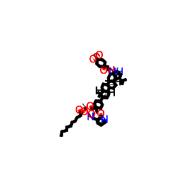 C=C(C)[C@@H]1CC[C@]2(NCCC3(O)CCC(S(C)(=O)=O)CC3)CC[C@]3(C)[C@H](CC[C@@H]4[C@@]5(C)CC=C(C6=CCC(COc7ncccc7C#N)(C(=O)O[C@@H](C)OC(=O)CCCCCCCCC)CC6)C(C)(C)[C@@H]5CC[C@]43C)[C@@H]12